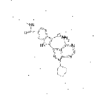 CNC(=O)c1ccc2c(Cl)c(-c3nn(C4CCCCC4)c4ncnc(N)c34)[nH]c2c1